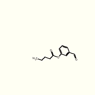 CCC[CH]C(=O)Oc1cccc(C=O)c1